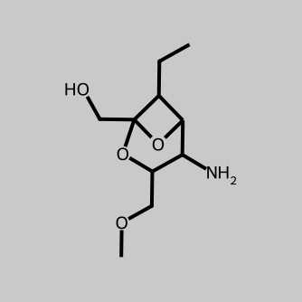 CCC1C2OC1(CO)OC(COC)C2N